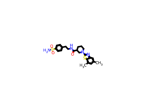 Cc1cc(C)c2sc(N3CCCC(C(=O)NCCc4ccc(S(N)(=O)=O)cc4)C3)nc2c1